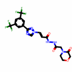 O=C(C=Cn1cnc(-c2cc(C(F)(F)F)cc(C(F)(F)F)c2)n1)NNC(=O)CN1CCOCC1=O